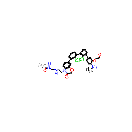 CNc1ccc(-c2cccc(-c3cccc(-c4ccc5c(c4)OCC(=O)N5CCNCCNC(C)=O)c3Cl)c2Cl)cc1OCC=O